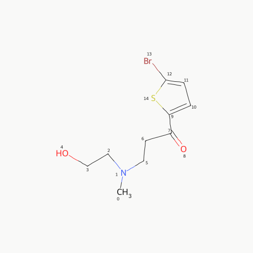 CN(CCO)CCC(=O)c1ccc(Br)s1